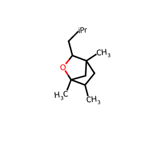 CC(C)CC1OC2(C)CC1(C)CC2C